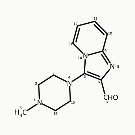 CN1CCN(c2c(C=O)nc3ccccn23)CC1